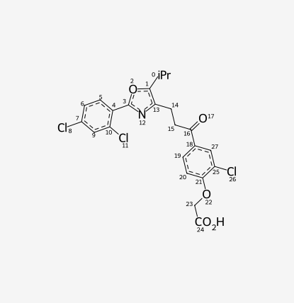 CC(C)c1oc(-c2ccc(Cl)cc2Cl)nc1CCC(=O)c1ccc(OCC(=O)O)c(Cl)c1